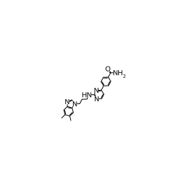 Cc1cc2ncn(CCCNc3nccc(-c4ccc(C(N)=O)cc4)n3)c2cc1C